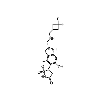 O=C1CN(c2c(O)cc3c(c2F)C[C@H](CNCC2CC(F)(F)C2)N3)S(=O)(=O)N1